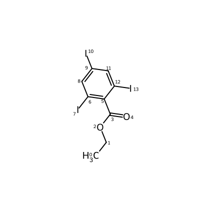 CCOC(=O)c1c(I)cc(I)cc1I